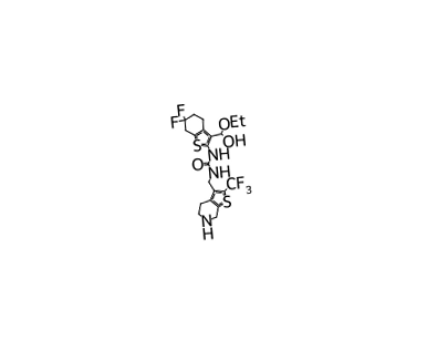 CCOC(O)c1c(NC(=O)NCc2c(C(F)(F)F)sc3c2CCNC3)sc2c1CCC(F)(F)C2